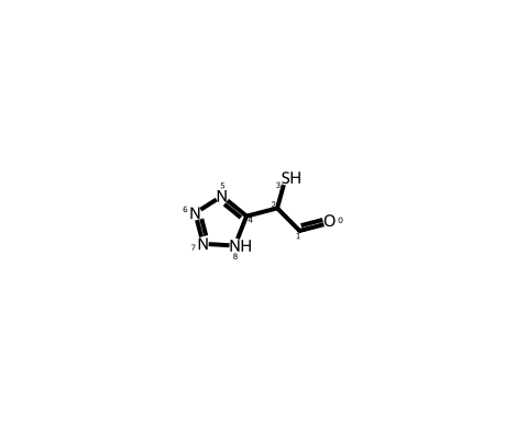 O=[C]C(S)c1nnn[nH]1